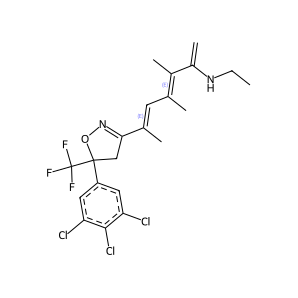 C=C(NCC)/C(C)=C(C)/C=C(\C)C1=NOC(c2cc(Cl)c(Cl)c(Cl)c2)(C(F)(F)F)C1